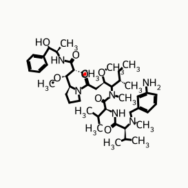 CC[C@H](C)C([C@@H](CC(=O)N1CCC[C@H]1[C@H](OC)[C@@H](C)C(=O)N[C@H](C)[C@@H](O)c1ccccc1)OC)N(C)C(=O)[C@@H](NC(=O)[C@H](C(C)C)N(C)Cc1cccc(N)c1)C(C)C